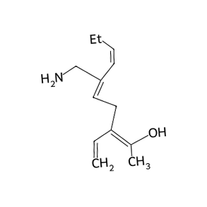 C=C/C(C/C=C(\C=C/CC)CN)=C(\C)O